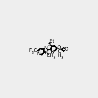 CCSc1cc(OC2(C)COC2)cnc1-c1nc2cc(C(F)(F)F)ncc2n1C